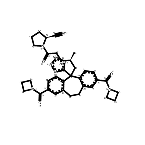 C[C@@H](CC1(c2nn[nH]n2)c2ccc(C(=O)N3CCC3)cc2CCc2cc(C(=O)N3CCC3)ccc21)NCC(=O)N1CCC[C@H]1C#N